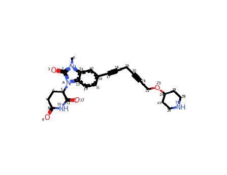 Cn1c(=O)n(C2CCC(=O)NC2=O)c2ccc(C#CCC#CCOC3CCNCC3)cc21